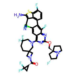 N#Cc1c(N)sc2c(F)ccc(-c3c(Cl)cc4c(N5CC(F)(F)CCC6(CN(C(=O)[C@@H]7CC7(F)F)C6)C5)nc(OC[C@@]56CCCN5C[C@H](F)C6)nc4c3F)c12